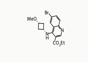 CCOC(=O)c1cnc2ccc(Br)cc2c1N[C@H]1C[C@@H](OC)C1